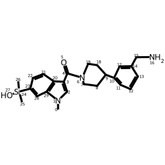 Cn1cc(C(=O)N2CCC(c3cccc(CN)c3)CC2)c2ccc([Si](C)(C)O)cc21